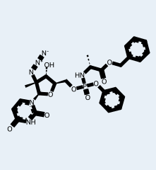 C[C@@H](NP(=O)(OC[C@H]1O[C@@H](n2ccc(=O)[nH]c2=O)[C@](C)(N=[N+]=[N-])[C@@H]1O)Oc1ccccc1)C(=O)OCc1ccccc1